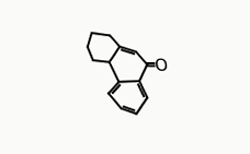 O=C1C=C2CCCCC2c2ccccc21